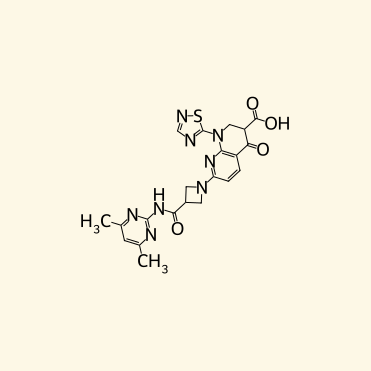 Cc1cc(C)nc(NC(=O)C2CN(c3ccc4c(n3)N(c3ncns3)CC(C(=O)O)C4=O)C2)n1